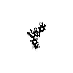 CN1C(C(=O)Nc2ccc(F)c(Cl)c2)=CC(c2ccc(C(F)(F)F)cc2)=N[S+]1[O-]